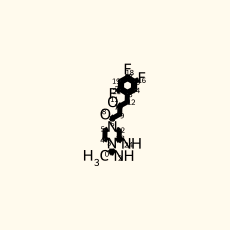 CC(=N)N1CCN(C(=O)CC(=O)Cc2cc(F)c(F)cc2F)CC1=N